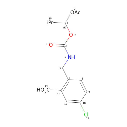 CC(=O)O[C@H](OC(=O)NCc1ccc(Cl)cc1C(=O)O)C(C)C